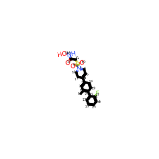 Cc1cc(C2=CCN(S(=O)(=O)CC(=O)NO)CC2)ccc1-c1ccccc1F